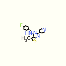 Cc1csc2nc(-c3ccncc3)nc(NCc3ccc(F)cc3)c12